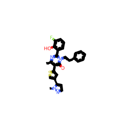 Cc1nc(-c2cccc(F)c2O)n(CCc2ccccc2)c(=O)c1-c1cc(-c2ccnn2C)cs1